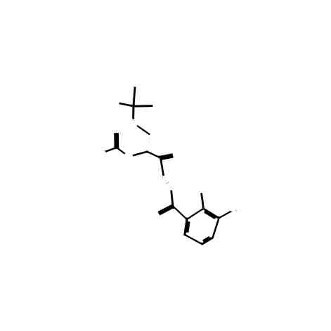 Cc1c(Br)cccc1C(=O)NNC(=O)[C@@H](COC(C)(C)C)OC(N)=O